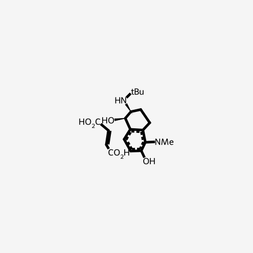 CNc1c(O)ccc2c1CC[C@H](NC(C)(C)C)[C@@H]2O.O=C(O)/C=C/C(=O)O